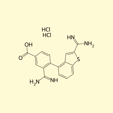 Cl.Cl.N=C(N)c1cc2c(-c3ccc(C(=O)O)cc3C(=N)N)cccc2s1